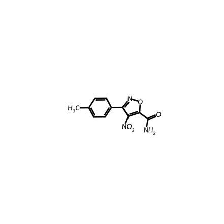 Cc1ccc(-c2noc(C(N)=O)c2[N+](=O)[O-])cc1